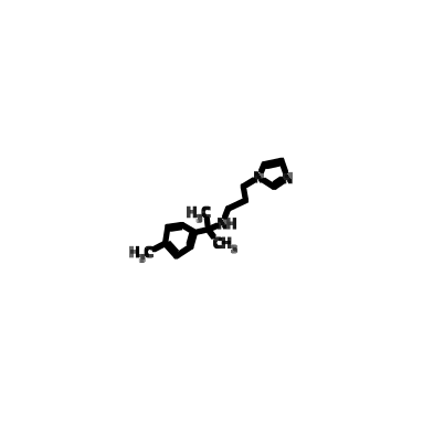 Cc1ccc(C(C)(C)NCCCn2ccnc2)cc1